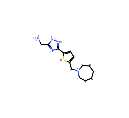 NCc1nc(-c2ccc(CN3CCCCCC3)s2)n[nH]1